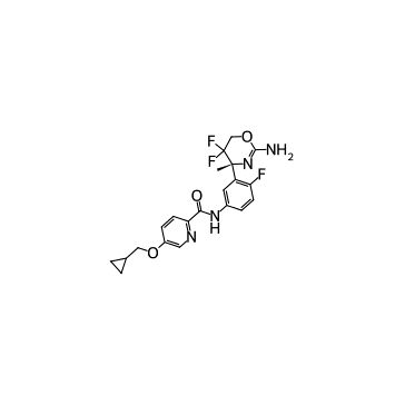 C[C@]1(c2cc(NC(=O)c3ccc(OCC4CC4)cn3)ccc2F)N=C(N)OCC1(F)F